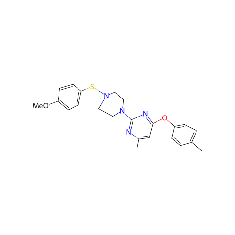 COc1ccc(SN2CCN(c3nc(C)cc(Oc4ccc(C)cc4)n3)CC2)cc1